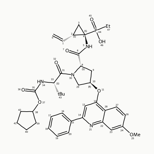 C=C[C@@H]1C[C@]1(NC(=O)[C@@H]1C[C@@H](Oc2cc(-c3ccccc3)nc3cc(OC)ccc23)CN1C(=O)[C@@H](NC(=O)OC1CCCC1)C(C)(C)C)P(=O)(O)CC